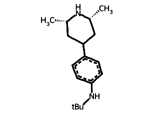 C[C@@H]1CC(c2ccc(NC(C)(C)C)cc2)C[C@H](C)N1